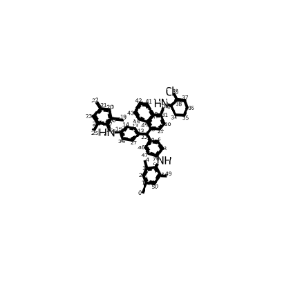 Cc1cc(C)c(Nc2ccc(C(c3ccc(Nc4c(C)cc(C)cc4C)cc3)c3ccc(NC4CCCCC4Cl)c4ccccc34)cc2)c(C)c1